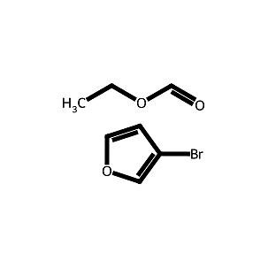 Brc1ccoc1.CCOC=O